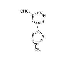 O=Cc1cncc(-c2ccc(C(F)(F)F)cc2)c1